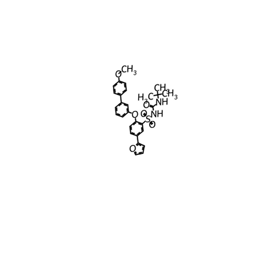 COc1ccc(-c2cccc(Oc3ccc(-c4ccco4)cc3S(=O)(=O)NC(=O)NC(C)(C)C)c2)cc1